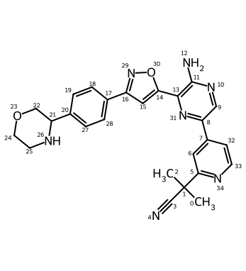 CC(C)(C#N)c1cc(-c2cnc(N)c(-c3cc(-c4ccc(C5COCCN5)cc4)no3)n2)ccn1